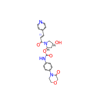 O=C(Nc1ccc(N2CCOCC2=O)cc1)O[C@@H]1C[C@@H](O)CN1C(=O)/C=C/c1ccncc1